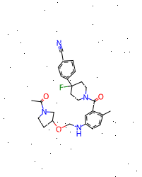 CC(=O)N1CCC(OCNc2ccc(C)c(C(=O)N3CCC(F)(c4ccc(C#N)cc4)CC3)c2)C1